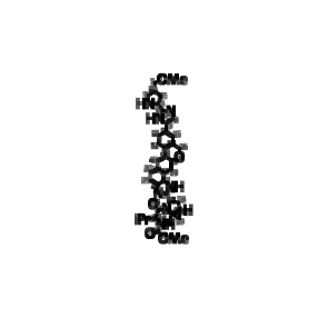 COC[C@@H]1CN[C@H](c2ncc(-c3ccc4c(c3)COc3cc5c(ccc6nc([C@@H]7C[C@H]8C[C@H]8N7C(=O)[C@@H](NC(=O)OC)C(C)C)[nH]c65)cc3-4)[nH]2)C1